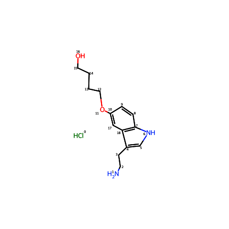 Cl.NCCc1c[nH]c2ccc(OCCCCO)cc12